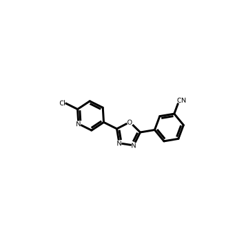 N#Cc1cccc(-c2nnc(-c3ccc(Cl)nc3)o2)c1